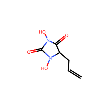 C=CCC1C(=O)N(O)C(=O)N1O